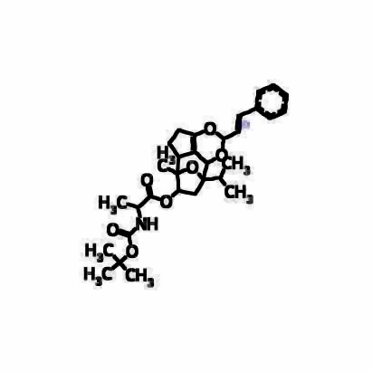 CC(NC(=O)OC(C)(C)C)C(=O)OC1CC2(C(C)C)OC1(C)C1CCC3=C1C2OC(/C=C/c1ccccc1)O3